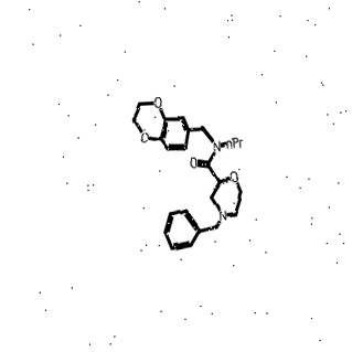 CCCN(Cc1ccc2c(c1)OCCO2)C(=O)C1CN(Cc2ccccc2)CCO1